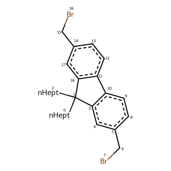 CCCCCCCC1(CCCCCCC)c2cc(CBr)ccc2-c2ccc(CBr)cc21